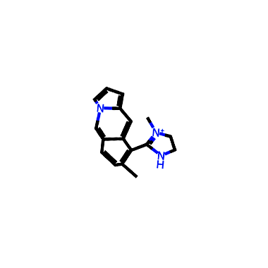 Cc1ccc2cn3cccc3cc2c1C1=[N+](C)CCN1